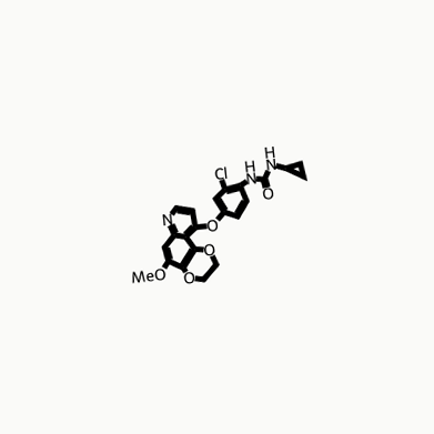 COc1cc2nccc(Oc3ccc(NC(=O)NC4CC4)c(Cl)c3)c2c2c1OCCO2